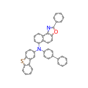 c1ccc(-c2ccc(N(c3ccc4sc5ccccc5c4c3)c3cccc4c3ccc3oc(-c5ccccc5)nc34)cc2)cc1